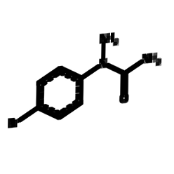 NC(=O)N(N)c1ccc(Br)cc1